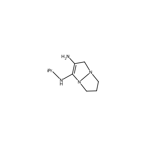 CC(C)NC1=C(N)CN2CCCN12